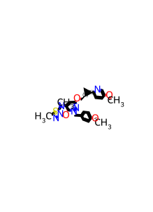 COc1ccc(Cn2nc(OC[C@H]3C[C@@H]3c3ccc(OC)cn3)cc(N(C)c3nnc(C)s3)c2=O)cc1